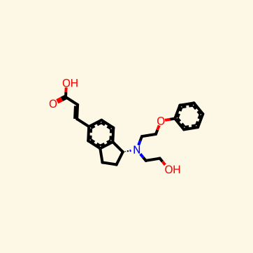 O=C(O)/C=C/c1ccc2c(c1)CC[C@H]2N(CCO)CCOc1ccccc1